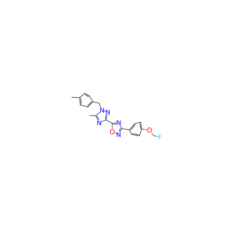 Cc1ccc(Cn2nc(-c3nc(-c4ccc(OCF)cc4)no3)nc2C)cc1